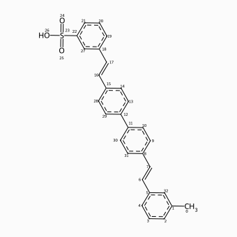 Cc1cccc(C=Cc2ccc(-c3ccc(C=Cc4cccc(S(=O)(=O)O)c4)cc3)cc2)c1